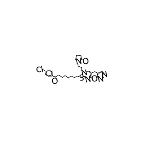 O=C(CCCCCCCSc1nc(=O)c(Cc2cncnc2)cn1CCCN1CCCC1=O)c1ccc(Cl)cc1